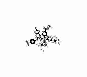 COC(=O)C1=CC(N/C(=N\C(=O)OC(C)(C)C)NC(=O)OC(C)(C)C)[C@@H](NC(C)=O)[C@H](C(OC(=O)Oc2ccc([N+](=O)[O-])cc2)[C@H]2COC(=O)O2)O1